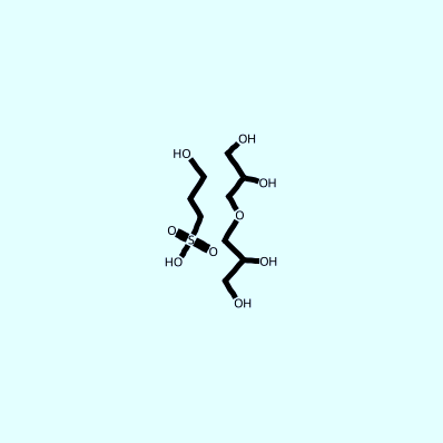 O=S(=O)(O)CCCO.OCC(O)COCC(O)CO